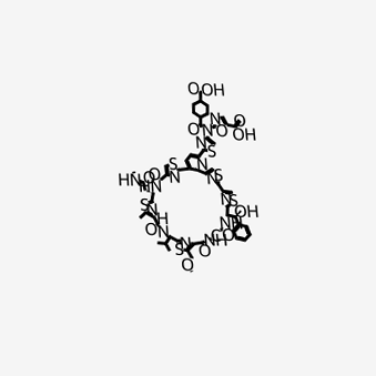 CNC(=O)C[C@@H]1NC(=O)c2csc(n2)-c2ccc(-c3nc(N(C(=O)C4CCC(C(=O)O)CC4)c4ncc(C(=O)O)o4)cs3)nc2-c2csc(n2)-c2csc(n2)[C@H]([C@@H](O)c2ccccc2)NC(=O)CNC(=O)c2nc(sc2COC)C(C(C)C)NC(=O)c2nc1sc2C